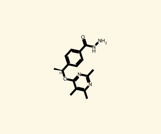 Cc1nc(C)c(C)c(O[C@@H](C)c2ccc(C(=O)NN)cc2)n1